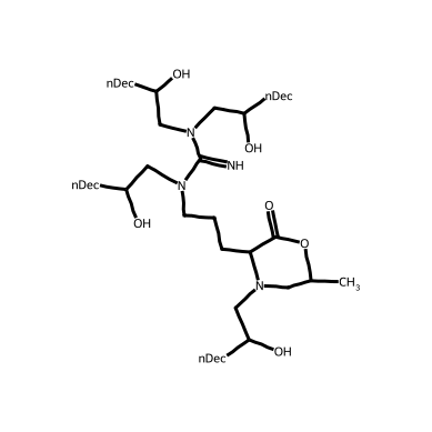 CCCCCCCCCCC(O)CN(CCCC1C(=O)OC(C)CN1CC(O)CCCCCCCCCC)C(=N)N(CC(O)CCCCCCCCCC)CC(O)CCCCCCCCCC